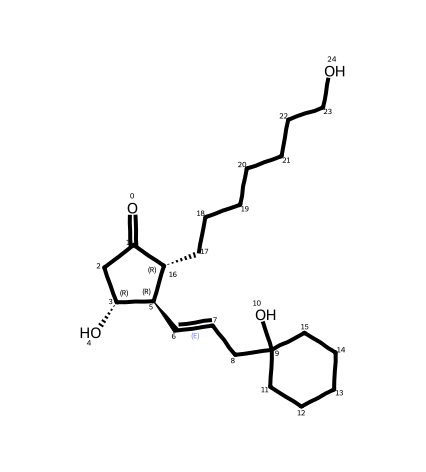 O=C1C[C@@H](O)[C@H](/C=C/CC2(O)CCCCC2)[C@H]1CCCCCCCO